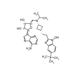 CC(C)N(C[C@H]1O[C@@H](n2cnc3c(N)ncnc32)[C@H](O)[C@@H]1O)[C@H]1C[C@@H](CCc2nc3cc(C(C)(C)C)ccc3n2O)C1